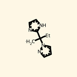 [CH2]C(CC)(c1ncc[nH]1)n1cccn1